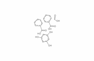 O=C(O)c1ccccc1.O=C(O)c1ccccc1.O=CO.Oc1cc(O)cc(O)c1